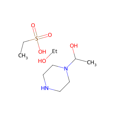 CC(O)N1CCNCC1.CCO.CCS(=O)(=O)O